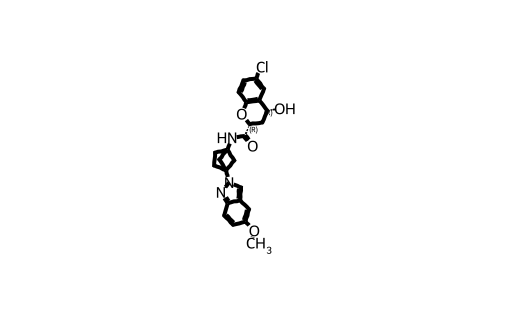 COc1ccc2nn(C34CCC(NC(=O)[C@H]5C[C@@H](O)c6cc(Cl)ccc6O5)(C3)C4)cc2c1